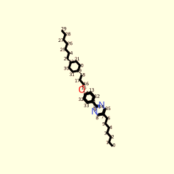 CCCCCCCc1cnc(-c2ccc(OCCC[C@H]3CC[C@H](CCCCCCC)CC3)cc2)nc1